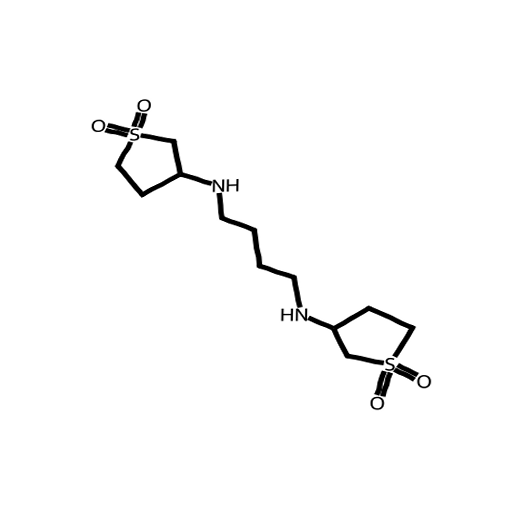 O=S1(=O)CCC(NCCCCNC2CCS(=O)(=O)C2)C1